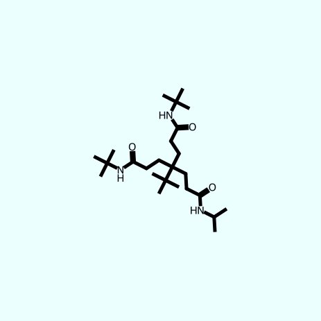 CC(C)NC(=O)CCC(CCC(=O)NC(C)(C)C)(CCC(=O)NC(C)(C)C)C(C)(C)C